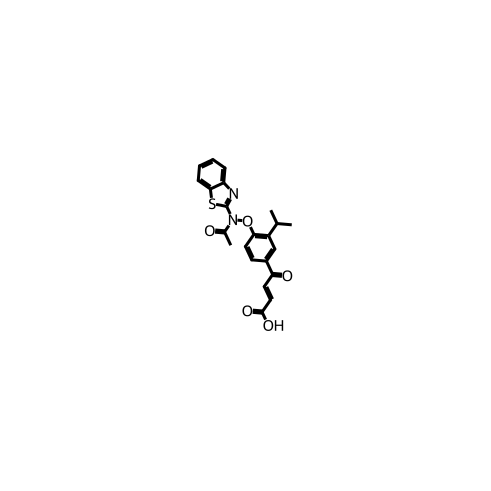 CC(=O)N(Oc1ccc(C(=O)/C=C/C(=O)O)cc1C(C)C)c1nc2ccccc2s1